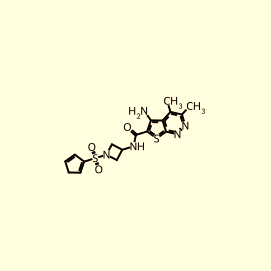 Cc1nnc2sc(C(=O)NC3CN(S(=O)(=O)C4=CCC=C4)C3)c(N)c2c1C